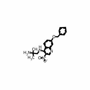 CC(C)(N)CNc1c([N+](=O)[O-])cnc2cc(OCc3ccccc3)ccc12